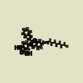 CCCCCCCCC#Cc1ccc(CN(C(=O)C=Cc2ccccc2)c2ccc(O)c(C(=O)O)c2)cc1